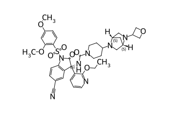 CCOc1ncccc1[C@]1(NC(=O)N2CCC(N3C[C@@H]4C[C@H]3CN4C3COC3)CC2)C(=O)N(S(=O)(=O)c2ccc(OC)cc2OC)c2ccc(C#N)cc21